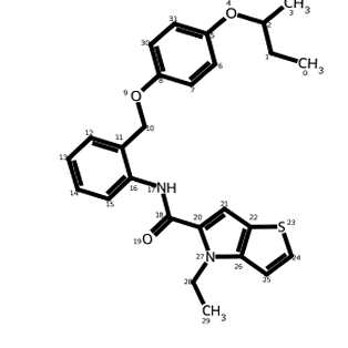 CCC(C)Oc1ccc(OCc2ccccc2NC(=O)c2cc3sccc3n2CC)cc1